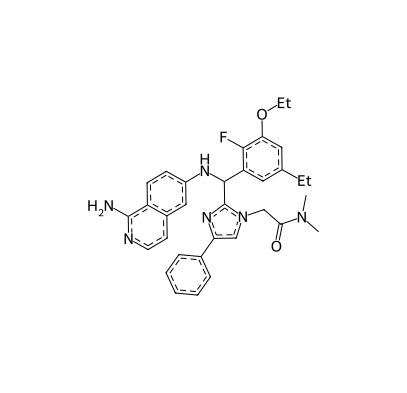 CCOc1cc(CC)cc(C(Nc2ccc3c(N)nccc3c2)c2nc(-c3ccccc3)cn2CC(=O)N(C)C)c1F